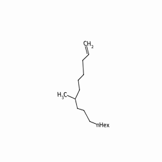 C=CCCCCC(C)CCCCCCCCC